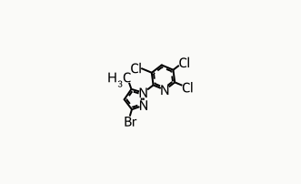 Cc1cc(Br)nn1-c1nc(Cl)c(Cl)cc1Cl